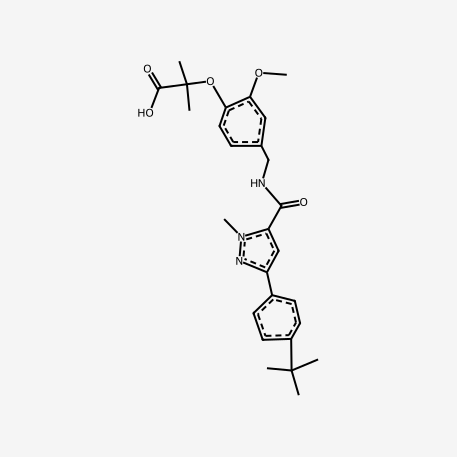 COc1cc(CNC(=O)c2cc(-c3ccc(C(C)(C)C)cc3)nn2C)ccc1OC(C)(C)C(=O)O